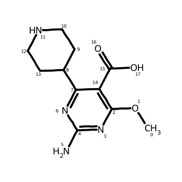 COc1nc(N)nc(C2CCNCC2)c1C(=O)O